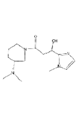 CN(C)[C@@H]1CCCN(C(=O)CC(O)c2nccn2C)C1